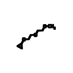 COCCOCCOC1CC1